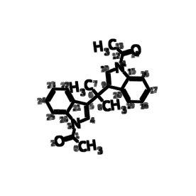 CC(=O)n1cc(C(C)(C)c2cn(C(C)=O)c3ccccc23)c2ccccc21